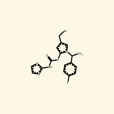 CC(C)Cc1cc(OC(=O)Nc2nccs2)n(C(C)c2ccc(F)cc2)c1